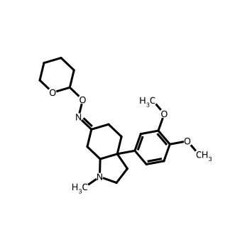 COc1ccc(C23CC/C(=N\OC4CCCCO4)CC2N(C)CC3)cc1OC